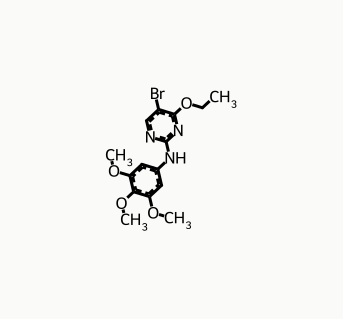 CCOc1nc(Nc2cc(OC)c(OC)c(OC)c2)ncc1Br